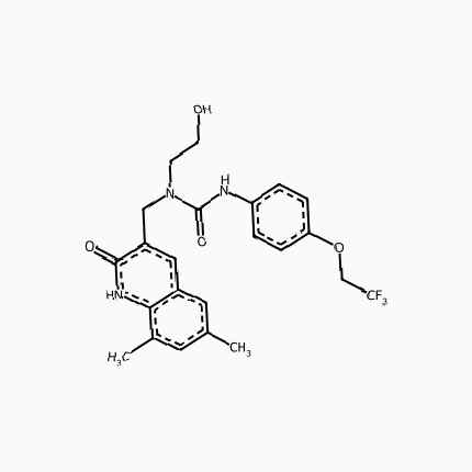 Cc1cc(C)c2[nH]c(=O)c(CN(CCO)C(=O)Nc3ccc(OCC(F)(F)F)cc3)cc2c1